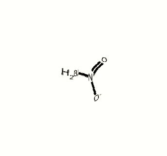 O=[N+]([O-])[BiH2]